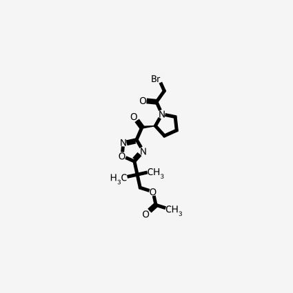 CC(=O)OCC(C)(C)c1nc(C(=O)[C@@H]2CCCN2C(=O)CBr)no1